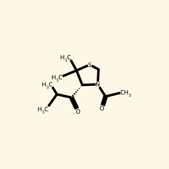 CC(=O)N1CSC(C)(C)[C@H]1C(=O)C(C)C